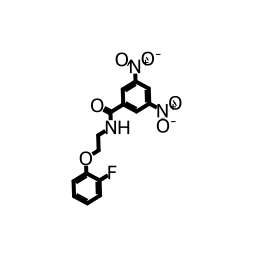 O=C(NCCOc1ccccc1F)c1cc([N+](=O)[O-])cc([N+](=O)[O-])c1